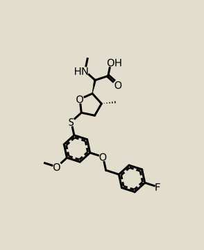 CNC(C(=O)O)[C@@H]1OC(Sc2cc(OC)cc(OCc3ccc(F)cc3)c2)C[C@H]1C